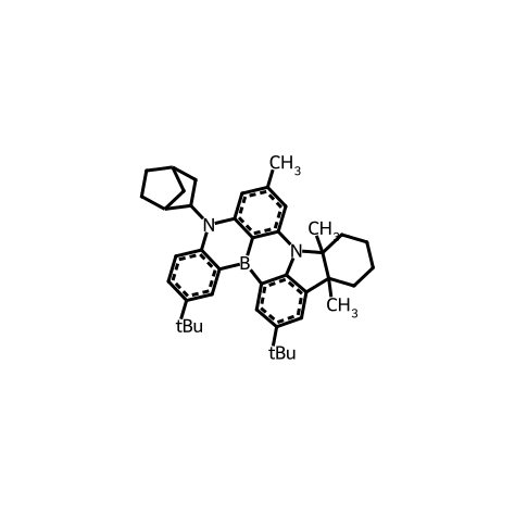 Cc1cc2c3c(c1)N1c4c(cc(C(C)(C)C)cc4C4(C)CCCCC14C)B3c1cc(C(C)(C)C)ccc1N2C1CC2CCC1C2